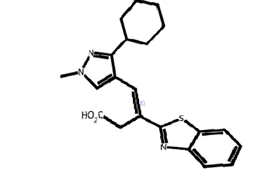 Cn1cc(/C=C(\CC(=O)O)c2nc3ccccc3s2)c(C2CCCCC2)n1